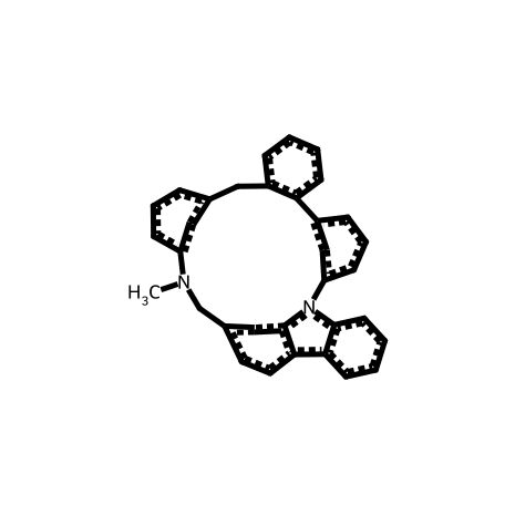 CN1Cc2ccc3c4ccccc4n(c3c2)-c2cccc(c2)-c2ccccc2Cc2cccc1c2